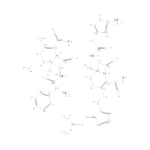 CN(C)CCn1nnnc1SCC1=C(C(=O)O)N2C(=O)[C@@H](NC(=O)Cc3csc(N)n3)[C@H]2SC1.N[C@@H](C(=O)N[C@@H]1C(=O)N2C(C(=O)O)=C(Cl)CS[C@H]12)c1ccccc1.O